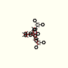 C=Cc1c(/C=C\c2c(C)cc(C)cc2C)n(-c2ccc(-c3nc(-c4ccccc4)nc(-c4ccccc4)n3)cc2-c2cccc(-c3cc(-c4nc(-c5ccccc5)nc(-c5ccccc5)n4)ccc3-n3c4ccc(-c5c(C)cc(C)cc5C)cc4c4cc(-c5c(C)cc(C)cc5C)ccc43)c2)c2ccc(-c3c(C)cc(C)cc3C)cc12